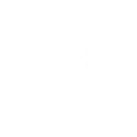 Cn1nnn(-c2cccc(OC(F)F)c2COc2ccc(O)cc2Cl)c1=O